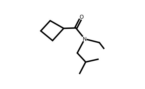 CCN(CC(C)C)C(=O)C1CCC1